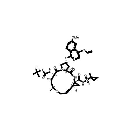 C=COc1cnc(O[C@@H]2C[C@H]3C(=O)N[C@]4(C(=O)NS(=O)(=O)C5(C)CC5)C[C@H]4/C=C\CC[C@@H](C)C[C@@H](C)[C@H](NC(=O)OC(C)(C)C(F)(F)F)C(=O)N3C2)c2ccc(OC)cc12